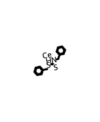 S=C(NCc1ccccc1)SCc1ccccc1.[Ce]